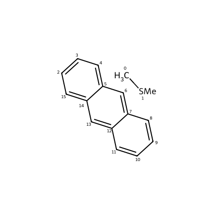 CSC.c1ccc2cc3ccccc3cc2c1